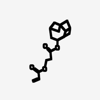 C=CC(=O)OCCC(=O)OC12CC3CC4(C3)CC(C1)C4C2